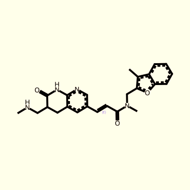 CNCC1Cc2cc(/C=C/C(=O)N(C)Cc3oc4ccccc4c3C)cnc2NC1=O